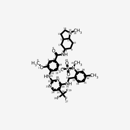 COc1cc(C(=O)NC2CCC3C(CCN3C)C2)ccc1Nc1ncc(C(F)(F)F)c(NCc2ccc(C)cc2N(C)S(C)(=O)=O)n1